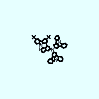 CC(C)(C)c1ccc2[nH]c3c(-c4cc(N(c5cc6c7ccccc7n7c8ccccc8c(c5)c67)c5cc6c7ccccc7n7c8ccccc8c(c5)c67)cc5ccccc45)cc(C(C)(C)C)cc3c2c1